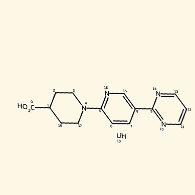 O=C(O)C1CCN(c2ccc(-c3ncccn3)cn2)CC1.[LiH]